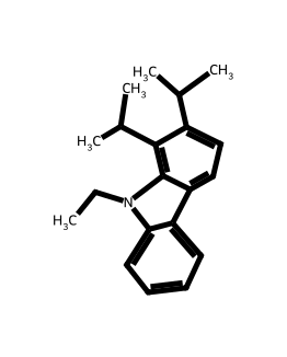 CCn1c2ccccc2c2ccc(C(C)C)c(C(C)C)c21